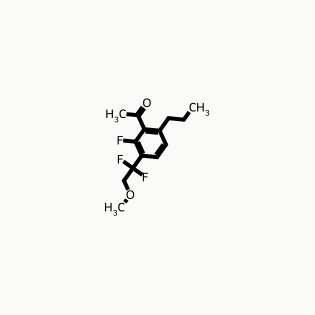 CCCc1ccc(C(F)(F)COC)c(F)c1C(C)=O